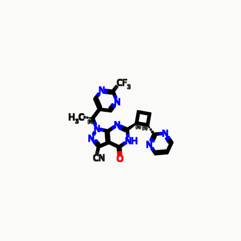 C[C@H](c1cnc(C(F)(F)F)nc1)n1nc(C#N)c2c(=O)[nH]c([C@H]3CC[C@@H]3c3ncccn3)nc21